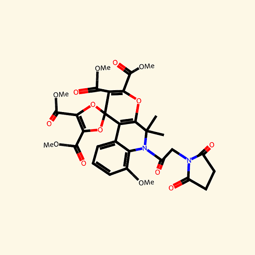 COC(=O)C1=C(C(=O)OC)OC2(O1)C(C(=O)OC)=C(C(=O)OC)OC1=C2c2cccc(OC)c2N(C(=O)CN2C(=O)CCC2=O)C1(C)C